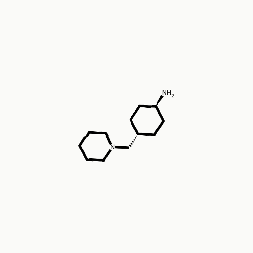 N[C@H]1CC[C@H](CN2CCCCC2)CC1